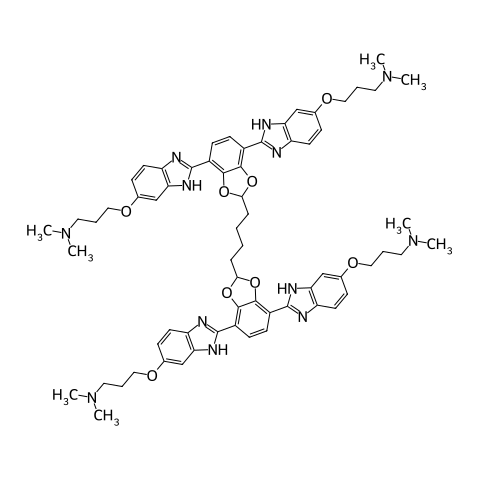 CN(C)CCCOc1ccc2nc(-c3ccc(-c4nc5ccc(OCCCN(C)C)cc5[nH]4)c4c3OC(CCCCC3Oc5c(-c6nc7ccc(OCCCN(C)C)cc7[nH]6)ccc(-c6nc7ccc(OCCCN(C)C)cc7[nH]6)c5O3)O4)[nH]c2c1